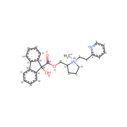 C[N@+]1(CCc2ccccn2)CCCC1COC(=O)C1(O)c2ccccc2-c2ccccc21